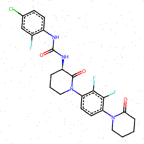 O=C(Nc1ccc(Cl)cc1F)N[C@@H]1CCCN(c2ccc(N3CCCCC3=O)c(F)c2F)C1=O